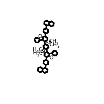 C[Si]1(C)c2cc3c(cc2-c2c1cc(C1=CCC(c4cccc5ccccc45)C=C1)c1oc4ccccc4c21)[Si](C)(C)c1cc(-c2ccc(-c4cccc5ccccc45)cc2)c2oc4ccccc4c2c1-3